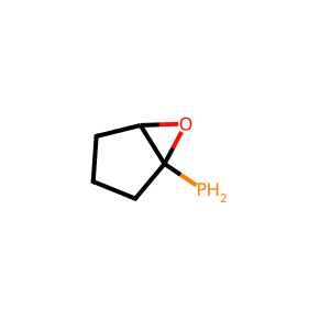 PC12CCCC1O2